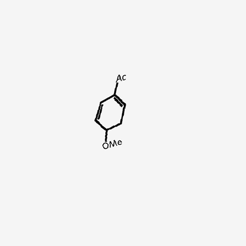 COC1C=CC(C(C)=O)=CC1